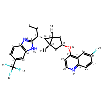 CCC(c1nc2ccc(C(F)(F)F)cc2[nH]1)[C@@H]1[C@@H]2C[C@@H](Oc3ccnc4ccc(F)cc34)C[C@@H]21